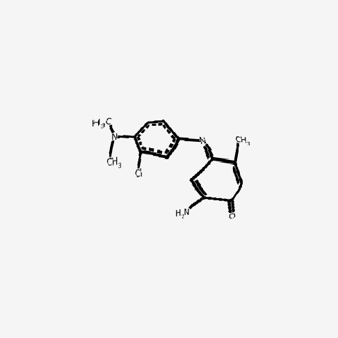 CC1=CC(=O)C(N)=CC1=Nc1ccc(N(C)C)c(Cl)c1